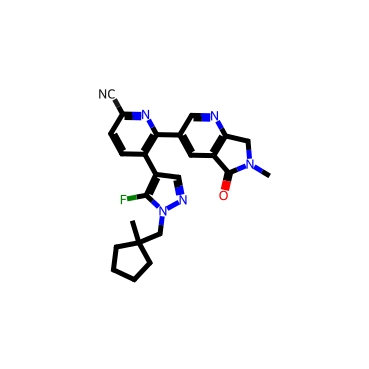 CN1Cc2ncc(-c3nc(C#N)ccc3-c3cnn(CC4(C)CCCC4)c3F)cc2C1=O